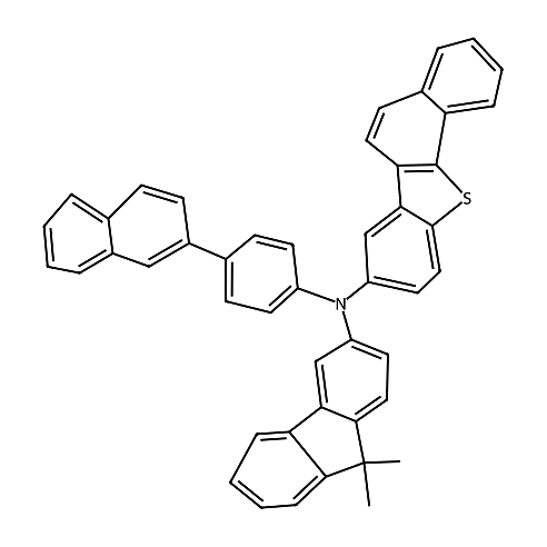 CC1(C)c2ccccc2-c2cc(N(c3ccc(-c4ccc5ccccc5c4)cc3)c3ccc4sc5c6ccccc6ccc5c4c3)ccc21